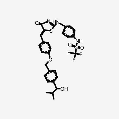 CC(C)C(O)c1ccc(COc2ccc(/C=C3\SC(Nc4ccc(NS(=O)(=O)C(F)(F)F)cc4)=NC3=O)cc2)cc1